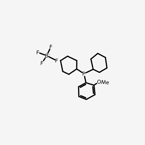 COc1ccccc1P(C1CCCCC1)C1CCCCC1.F[B-](F)(F)F